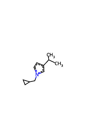 CC(C)c1ccn(CC2CC2)c1